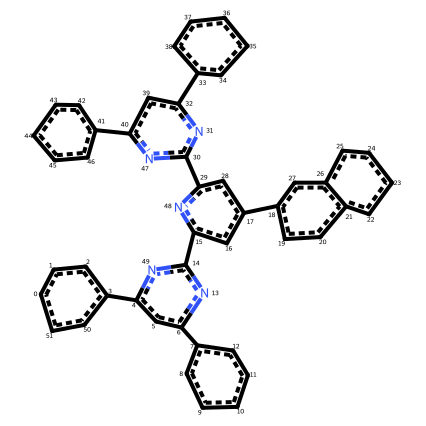 c1ccc(-c2cc(-c3ccccc3)nc(-c3cc(-c4ccc5ccccc5c4)cc(-c4nc(-c5ccccc5)cc(-c5ccccc5)n4)n3)n2)cc1